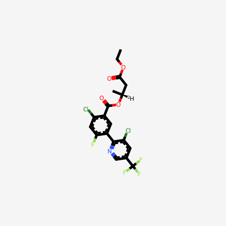 [2H][C@@](C)(CC(=O)OCC)OC(=O)c1cc(-c2ncc(C(F)(F)F)cc2Cl)c(F)cc1Cl